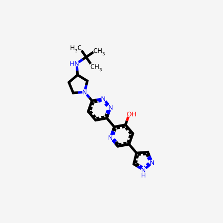 CC(C)(C)NC1CCN(c2ccc(-c3ncc(-c4cn[nH]c4)cc3O)nn2)C1